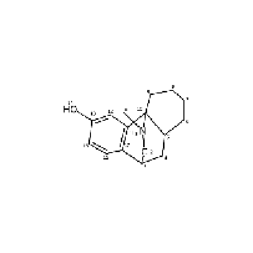 CN1CC2CC3CCCCC31c1cc(O)ccc12